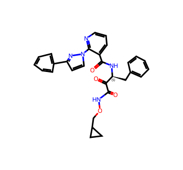 O=C(NOCC1CC1)C(=O)[C@H](Cc1ccccc1)NC(=O)c1cccnc1-n1ccc(-c2ccccc2)n1